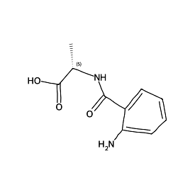 C[C@H](NC(=O)c1ccccc1N)C(=O)O